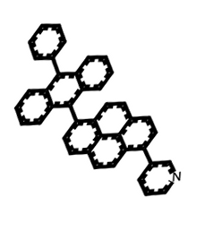 c1ccc(-c2c3ccccc3c(-c3ccc4ccc5c(-c6cccnc6)ccc6ccc3c4c65)c3ccccc23)cc1